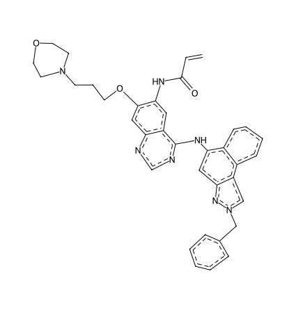 C=CC(=O)Nc1cc2c(Nc3cc4nn(Cc5ccccc5)cc4c4ccccc34)ncnc2cc1OCCCN1CCOCC1